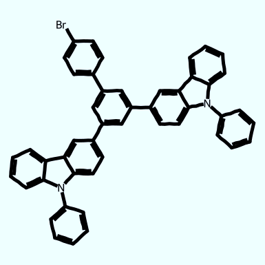 Brc1ccc(-c2cc(-c3ccc4c(c3)c3ccccc3n4-c3ccccc3)cc(-c3ccc4c(c3)c3ccccc3n4-c3ccccc3)c2)cc1